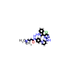 CN(C)C/C=C/C(=O)Nc1ccc(N2CCCC(Nc3ncc(Cl)c(-c4c[nH]c5ccccc45)n3)C2)cc1